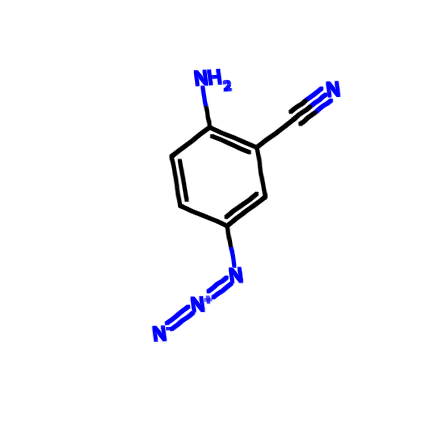 N#Cc1cc(N=[N+]=[N-])ccc1N